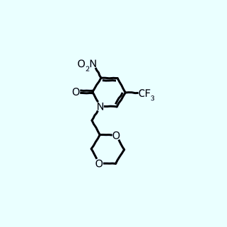 O=c1c([N+](=O)[O-])cc(C(F)(F)F)cn1CC1COCCO1